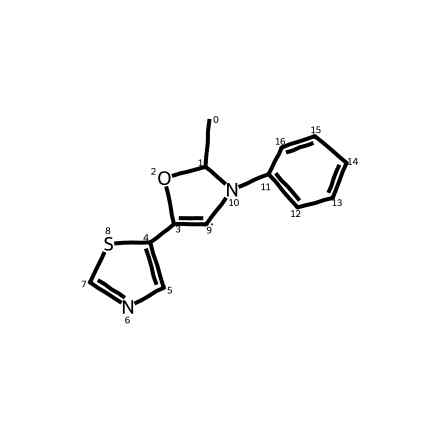 CC1OC(c2cncs2)=[C]N1c1ccccc1